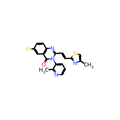 Cc1csc(/C=C/c2nc3ccc(F)cc3c(=O)n2-c2cccnc2C)n1